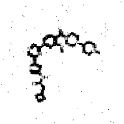 COc1cc(-c2cncc(-c3cc(NC(=O)CC4CCC4)cs3)n2)ccc1C(=O)N1CCN(C2CCN(C)CC2)CC1